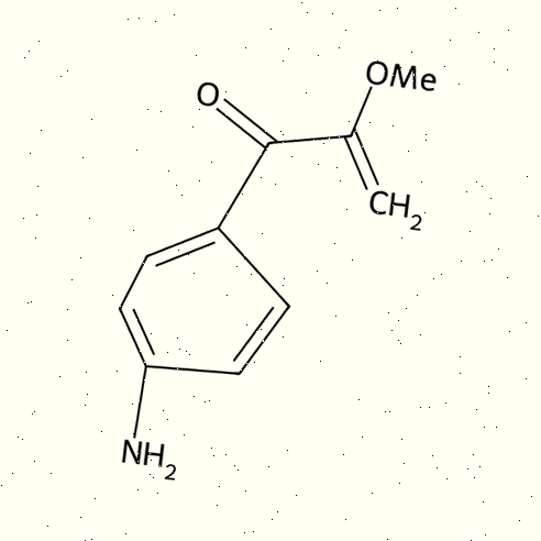 C=C(OC)C(=O)c1ccc(N)cc1